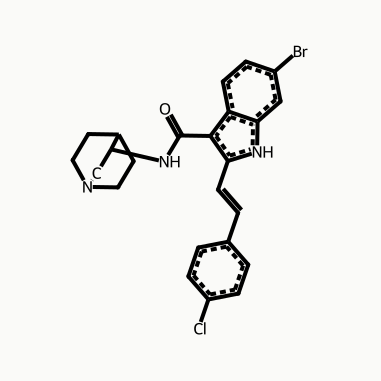 O=C(NC1CN2CCC1CC2)c1c(C=Cc2ccc(Cl)cc2)[nH]c2cc(Br)ccc12